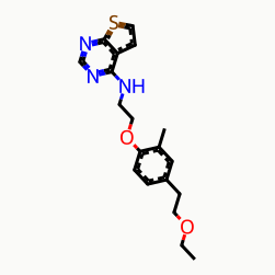 CCOCCc1ccc(OCCNc2ncnc3sccc23)c(C)c1